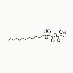 CCCCCCCCCCCCOC(O)C(=O)OC(=O)C(C)O